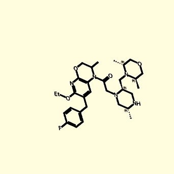 CCOc1nc2c(cc1Cc1ccc(F)cc1)N(C(=O)CN1C[C@@H](C)NC[C@@H]1CN1[C@H](C)COC[C@H]1C)C(C)CO2